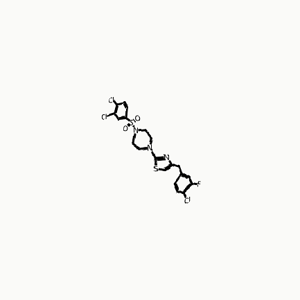 O=S(=O)(c1ccc(Cl)c(Cl)c1)N1CCN(c2nc(Cc3ccc(Cl)c(F)c3)cs2)CC1